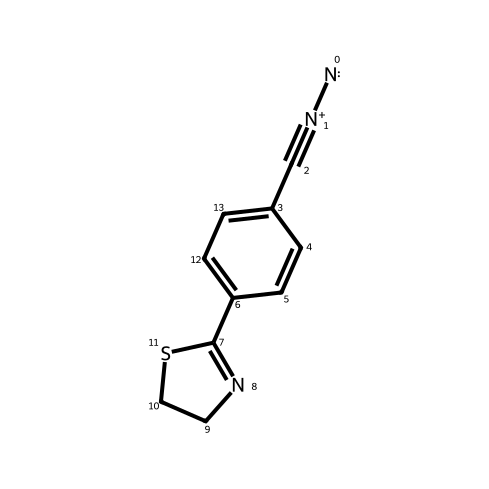 [N][N+]#Cc1ccc(C2=NCCS2)cc1